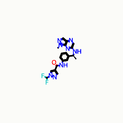 C[C@H](Nc1cnc2cnn(C)c2n1)c1cccc(NC(=O)c2cnn(C(F)F)c2)c1